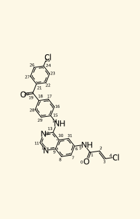 O=C(C=CCl)Nc1ccc2ncnc(Nc3ccc(C(=O)c4ccc(Cl)cc4)cc3)c2c1